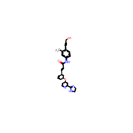 O=C(C=Cc1cccc(Oc2ccnc(C3=NCCN3)c2)c1)Nc1ccc(C#CCO)c(C(F)(F)F)c1